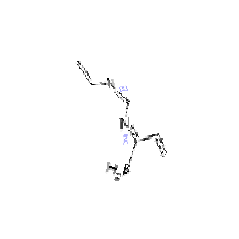 B/C(C=C)=N/C=N\C=C